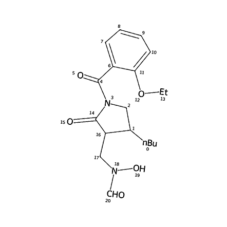 CCCCC1CN(C(=O)c2ccccc2OCC)C(=O)C1CN(O)C=O